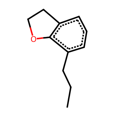 CCCc1cccc2c1OCC2